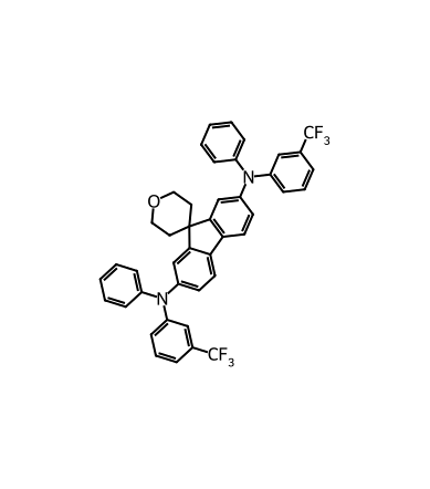 FC(F)(F)c1cccc(N(c2ccccc2)c2ccc3c(c2)C2(CCOCC2)c2cc(N(c4ccccc4)c4cccc(C(F)(F)F)c4)ccc2-3)c1